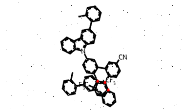 Cc1ccccc1-c1ccc2c(c1)c1ccccc1n2-c1ccc(-c2c(C(F)(F)F)cccc2C(F)(F)F)c(-c2cc(C#N)ccc2-n2c3ccccc3c3cc(-c4ccccc4C)ccc32)c1